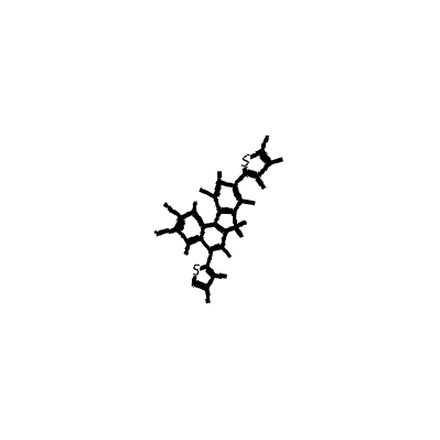 Cc1csc(-c2c(C)c3c(c4c(C)c(C)c(C)c(C)c24)-c2c(C)c(C)c(-c4sc(C)c(C)c4C)c(C)c2C3(C)C)c1C